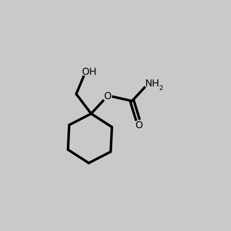 NC(=O)OC1(CO)CCCCC1